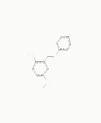 COc1ccc(N)c(COc2ccccc2)c1